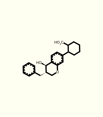 O=C(O)C1CCCCC1c1ccc2c(c1)OC[C@H](Cc1ccccc1)[C@H]2O